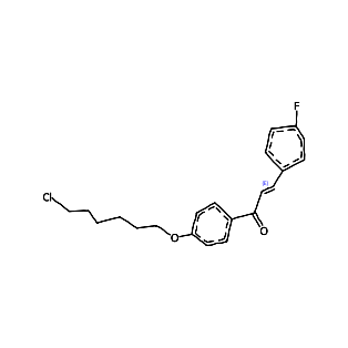 O=C(/C=C/c1ccc(F)cc1)c1ccc(OCCCCCCCl)cc1